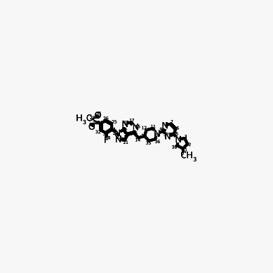 CC1CCN(c2ccnc(N3CCC(Cc4ncnc5c4cnn5-c4ccc(S(C)(=O)=O)cc4F)CC3)n2)C1